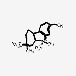 CC1(C)CCC2=C(C1)[N+](C)(C)c1cc(C#N)ccc12